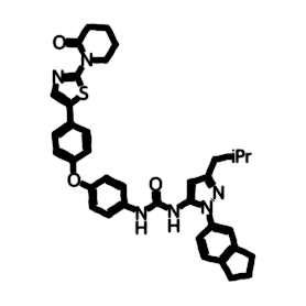 CC(C)Cc1cc(NC(=O)Nc2ccc(Oc3ccc(-c4cnc(N5CCCCC5=O)s4)cc3)cc2)n(-c2ccc3c(c2)CCC3)n1